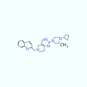 C[C@@H]1CN(c2ncc3c(n2)CCN(Cc2ccc4ccccc4n2)C3)CCN1C1CCC1